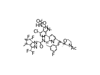 CC(=O)N1CCO[C@](C)(C#Cc2ccc(-c3ccc(Cl)c4c(NS(C)(=O)=O)nn(C)c34)c([C@H](Cc3cc(F)cc(F)c3)NC(=O)Cn3nc(C(F)F)c4c3C(F)(F)[C@H](C)[C@@H]4C)n2)C1